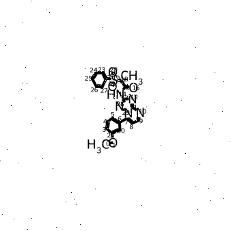 COc1cccc(-c2ccnc3nc(NC(=O)C(C)S(=O)(=O)c4ccccc4)nn23)c1